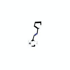 C(=C\c1cccs1)/c1ncon1